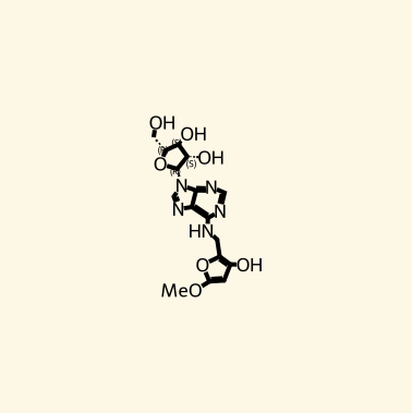 COc1cc(O)c(CNc2ncnc3c2ncn3[C@@H]2O[C@H](CO)[C@@H](O)[C@@H]2O)o1